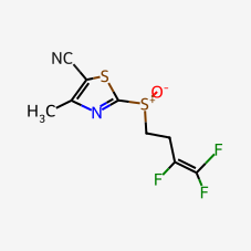 Cc1nc([S+]([O-])CCC(F)=C(F)F)sc1C#N